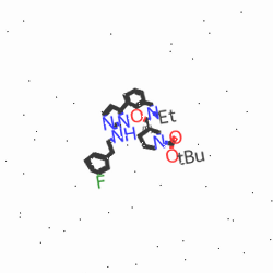 CCN(Cc1cccc(-c2ccnc(NCCc3cccc(F)c3)n2)c1)C(=O)[C@@H]1CCCN(C(=O)OC(C)(C)C)C1